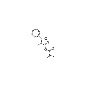 CC1C(OC(=O)N(C)C)=NOC1c1ccccc1